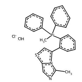 Cc1ncc2scc(-c3ccccc3[P+](C)(c3ccccc3)c3ccccc3)n12.Cl.[Cl-]